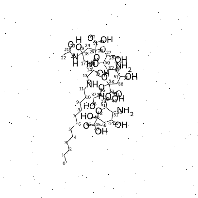 CCCCCCCCCCCCNCC(O)C1CC(O)(NC(C)=O)CC(OC(CO)C(O)C2OC(OC(CO)C(O)C3OC(O)(C(=O)O)CC(O)C3N)(C(=O)O)CC(O)C2N)(C(=O)O)O1